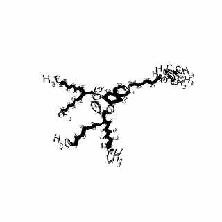 CCCCCCCC(CCCCCCC)C(=O)O[C@@H]1CC2(CCN(CCCCCO[Si](C)(C)C(C)(C)C)CC2)C[C@H]1OC(=O)C(CCCCCCC)CCCCCCC